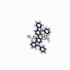 Cc1cc2c(c(C)c1-c1ccc3c4ccccc4n(-c4ccccc4)c3c1C)c1ccccc1n2-c1ccccc1